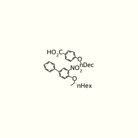 CCCCCCCCCCOc1ccc(C(=O)O)cc1.CCCCCC[C@H](C)Oc1ccc(-c2ccccc2)cc1[N+](=O)[O-]